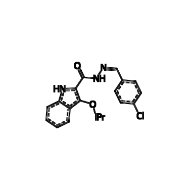 CC(C)Oc1c(C(=O)N/N=C\c2ccc(Cl)cc2)[nH]c2ccccc12